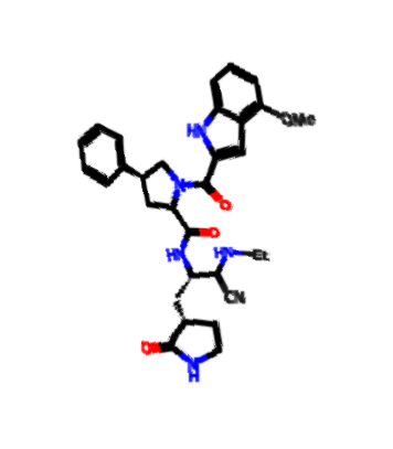 CCNC(C#N)[C@H](C[C@@H]1CCNC1=O)NC(=O)C1C[C@@H](c2ccccc2)CN1C(=O)c1cc2c(OC)cccc2[nH]1